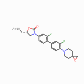 CC(=O)NC[C@H]1CN(c2ccc(-c3ccc(N4CCC5(CC4)CO5)c(F)c3)c(F)c2)C(=O)O1